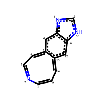 C1=CN=CC=c2cc3nc[nH]c3cc2=C1